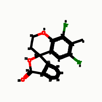 Cc1c(Br)cc2c(c1Br)OCCC21OC(=O)c2ccccc21